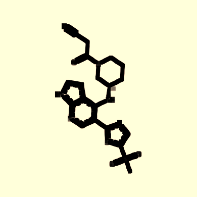 CS(=O)(=O)c1cnc(-c2cnc3[nH]ccc3c2N[C@@H]2CCCN(C(=O)CC#N)C2)s1